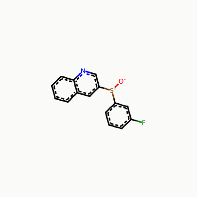 [O-][S+](c1cccc(F)c1)c1cnc2ccccc2c1